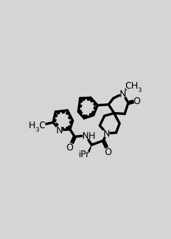 Cc1cccc(C(=O)N[C@@H](C(=O)N2CCC3(CC2)CC(=O)N(C)CC3c2ccccc2)C(C)C)n1